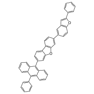 c1ccc(-c2cc3cc(-c4ccc5c(c4)oc4cc(-c6c7ccccc7c(-c7ccccc7)c7ccccc67)ccc45)ccc3o2)cc1